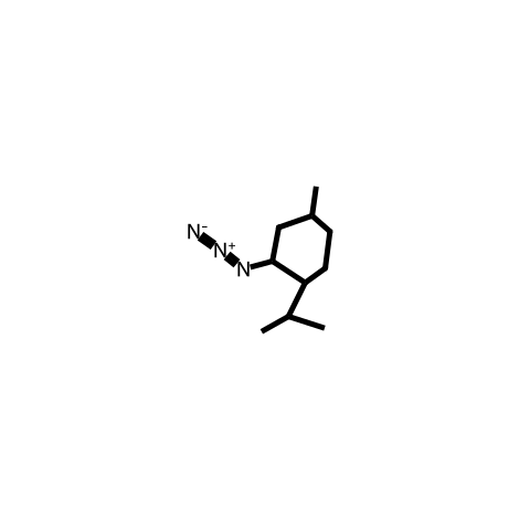 CC1CCC(C(C)C)C(N=[N+]=[N-])C1